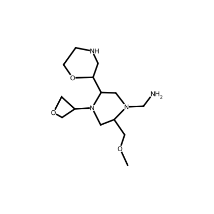 COCC1CN(C2COC2)C(C2CNCCO2)CN1CN